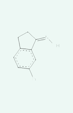 O/N=C1/CCc2ccc(Br)cc21